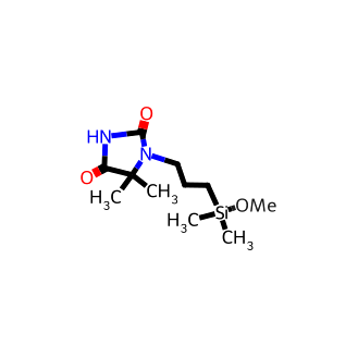 CO[Si](C)(C)CCCN1C(=O)NC(=O)C1(C)C